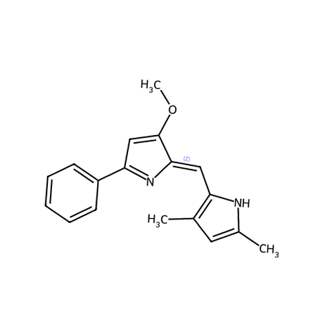 COC1=CC(c2ccccc2)=N/C1=C\c1[nH]c(C)cc1C